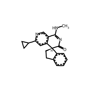 CNC1=NC(=O)[C@@]2(CCc3ccccc32)c2cc(C3CC3)ncc21